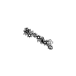 C[C@@H]1[C@@H](Nc2ccccc2CN2CCN(c3ccc(C(=O)NS(=O)(=O)c4ccc(NCC5CCOCC5)c([N+](=O)[O-])c4)cc3)CC2)C[C@@H]2C[C@H]1C2(C)C